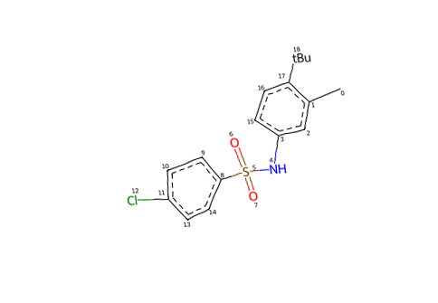 Cc1cc(NS(=O)(=O)c2ccc(Cl)cc2)ccc1C(C)(C)C